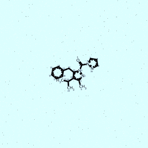 Cc1nn(C(=O)n2cccn2)c(Cc2ccccc2)c1C(C)C